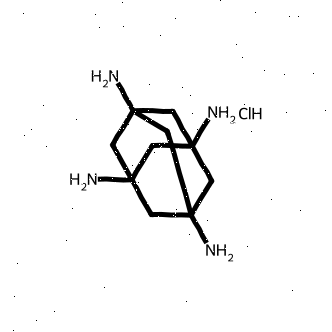 Cl.NC12CC3(N)CC(N)(C1)CC(N)(C2)C3